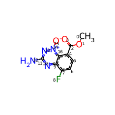 COC(=O)c1ccc(F)c2nc(N)n[n+]([O-])c12